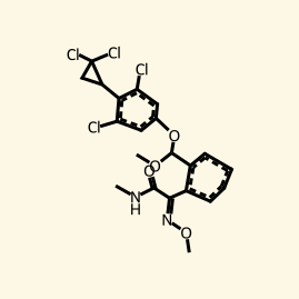 CNC(=O)/C(=N/OC)c1ccccc1C(OC)Oc1cc(Cl)c(C2CC2(Cl)Cl)c(Cl)c1